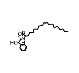 CCCCCCCC/C=C\CCCCCCCC(=O)N[C@@H](CO)C(O)c1ccccc1